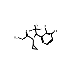 NCC(=O)N(C1CC1)C(c1cccc(Cl)c1F)C(F)(F)C(F)(F)F